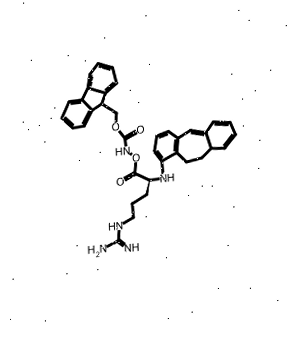 N=C(N)NCCC[C@H](Nc1cccc2c1CCC1C=CC=CC1=C2)C(=O)ONC(=O)OCC1c2ccccc2-c2ccccc21